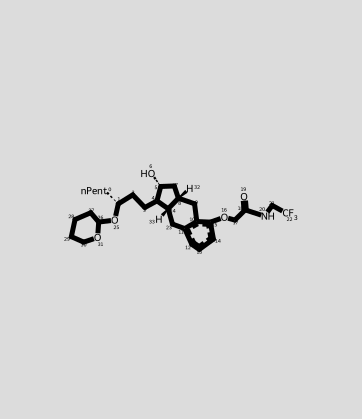 CCCCC[C@H](CCC1[C@H](O)C[C@@H]2Cc3c(cccc3OCC(=O)NCC(F)(F)F)C[C@H]12)OC1CCCCO1